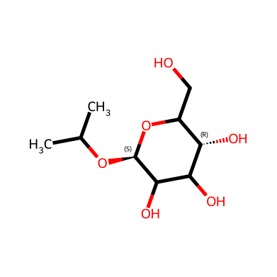 CC(C)O[C@H]1OC(CO)[C@H](O)C(O)C1O